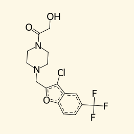 O=C(CO)N1CCN(Cc2oc3ccc(C(F)(F)F)cc3c2Cl)CC1